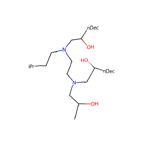 CCCCCCCCCCC(O)CN(CCC(C)C)CCN(CC(C)O)CC(O)CCCCCCCCCC